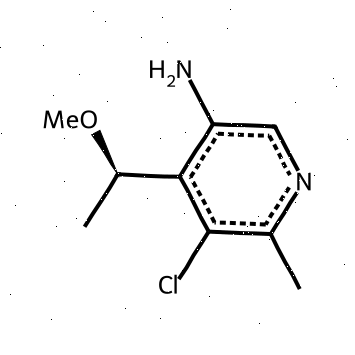 CO[C@H](C)c1c(N)cnc(C)c1Cl